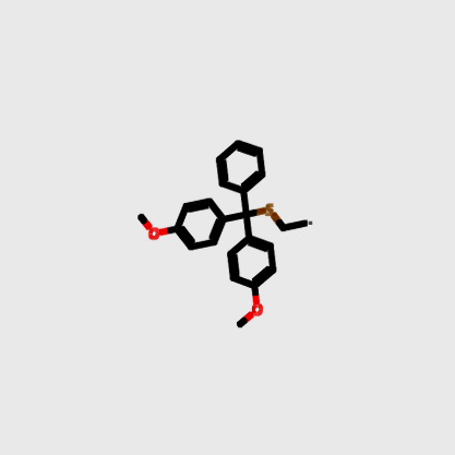 [CH2]CSC(c1ccccc1)(c1ccc(OC)cc1)c1ccc(OC)cc1